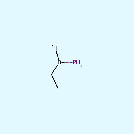 [2H]B(P)CC